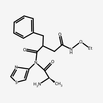 CCONC(=O)CC(Cc1ccccc1)C(=O)N(C(=O)[C@@H](C)N)c1cscn1